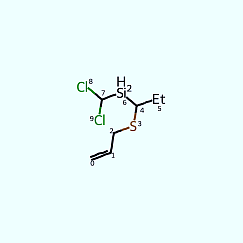 C=CCSC(CC)[SiH2]C(Cl)Cl